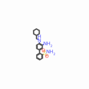 Nc1cc(-c2ccccc2S(N)(=O)=O)ccc1NCC1CCCCC1